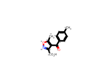 Cc1ccc(C(=O)c2c(C(=O)O)noc2C)cc1